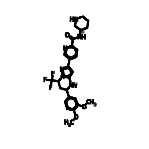 COc1ccc(C2CC(C(F)(F)F)n3nc(-c4ccc(C(=O)N[C@@H]5CCCNC5)nc4)cc3N2)cc1OC